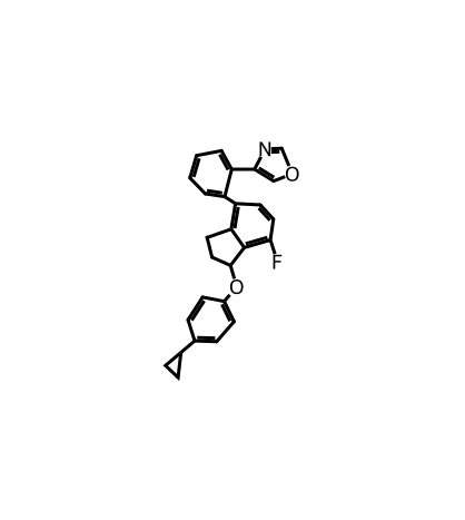 Fc1ccc(-c2ccccc2-c2cocn2)c2c1C(Oc1ccc(C3CC3)cc1)CC2